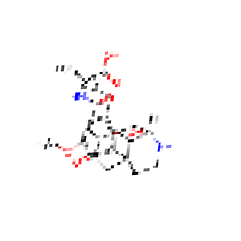 COc1cc(CC2CC2)c2c(c1)[C@]13CCN[C@H](C2)[C@]1(O)C[C@H](CC(=O)N[C@@H](C)C(=O)O)C(=O)C3